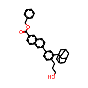 O=C(OCc1ccccc1)c1ccc2cc(-c3ccc(CCCO)c(C45CC6CC(CC(C6)C4)C5)c3)ccc2c1